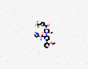 CCOc1ncccc1-c1ccc(N2CCN(C(=O)c3ccc(C(F)(F)F)s3)C[C@H]2CC)c(C(=O)N[C@@H]2CCNC2)n1